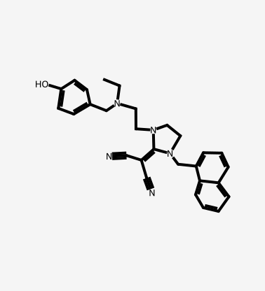 CCN(CCN1CCN(Cc2cccc3ccccc23)C1=C(C#N)C#N)Cc1ccc(O)cc1